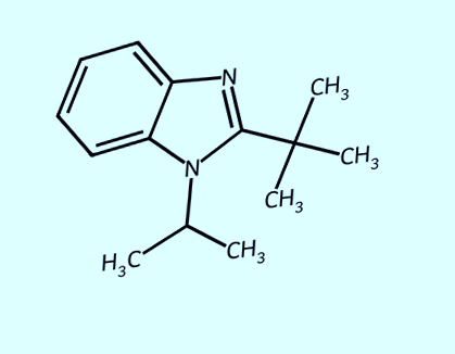 CC(C)n1c(C(C)(C)C)nc2ccccc21